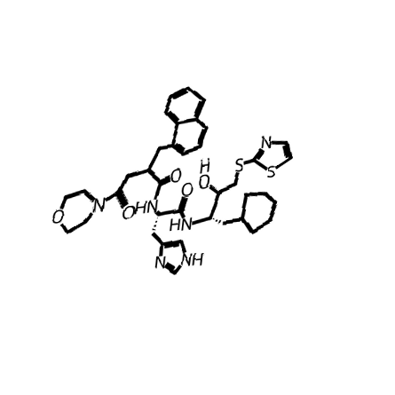 O=C(N[C@@H](Cc1c[nH]cn1)C(=O)N[C@@H](CC1CCCCC1)C(O)CSc1nccs1)C(CC(=O)N1CCOCC1)Cc1cccc2ccccc12